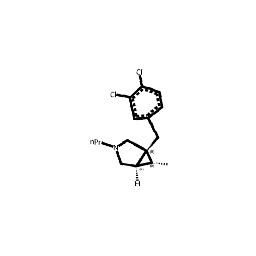 CCCN1C[C@@H]2[C@@H](C)[C@@]2(Cc2ccc(Cl)c(Cl)c2)C1